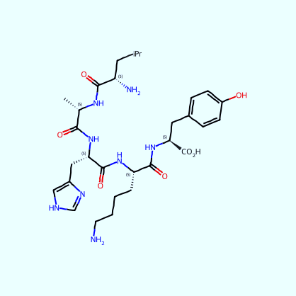 CC(C)C[C@H](N)C(=O)N[C@@H](C)C(=O)N[C@@H](Cc1c[nH]cn1)C(=O)N[C@@H](CCCCN)C(=O)N[C@@H](Cc1ccc(O)cc1)C(=O)O